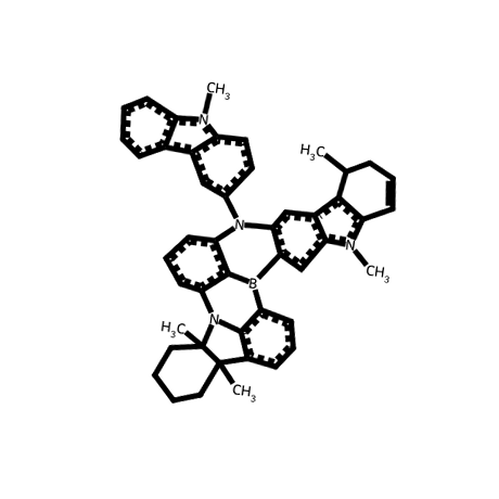 CC1CC=Cc2c1c1cc3c(cc1n2C)B1c2cccc4c2N(c2cccc(c21)N3c1ccc2c(c1)c1ccccc1n2C)C1(C)CCCCC41C